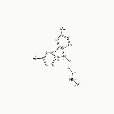 CC(=O)c1ccc2c(c1)c1cc(C(C)=O)ccc1n2CCCNC(C)C